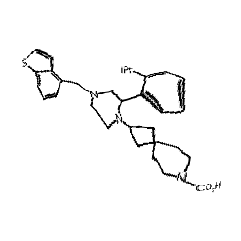 CC(C)c1ccccc1C1CN(Cc2cccc3sccc23)CCN1C1CC2(CCN(C(=O)O)CC2)C1